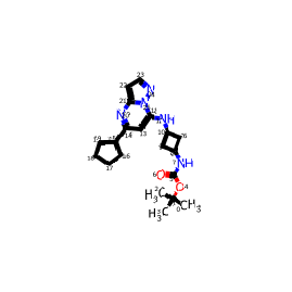 CC(C)(C)OC(=O)NC1CC(Nc2cc(C3CCCC3)nc3ccnn23)C1